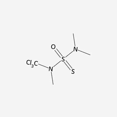 CN(C)S(=O)(=S)N(C)C(Cl)(Cl)Cl